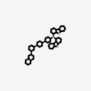 c1cc(-c2ccc(-c3ccc(N(c4cccc5c4sc4ccccc45)c4cccc5sc6ccccc6c45)cc3)cc2)cc(-c2ccc3ccccc3c2)c1